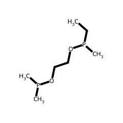 CCP(C)OCCOP(C)C